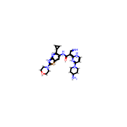 N=C/C(C(=O)Nc1cc2sc(N3CCOCC3)nc2nc1C1CC1)=C1/N=C(N2CCC(N)CC2)C=CN1